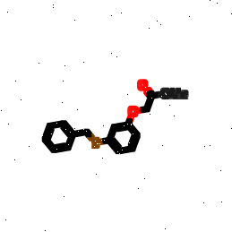 COC(=O)COc1cccc(SCc2ccccc2)c1